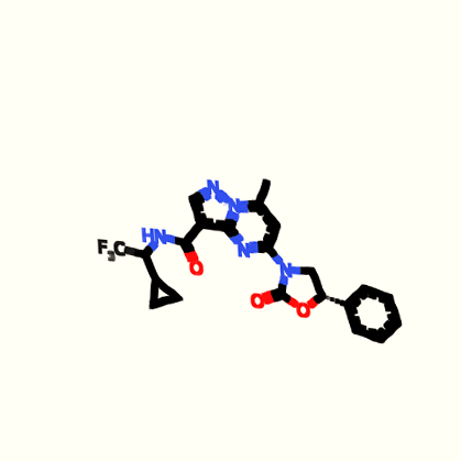 Cc1cc(N2C[C@H](c3ccccc3)OC2=O)nc2c(C(=O)NC(C3CC3)C(F)(F)F)cnn12